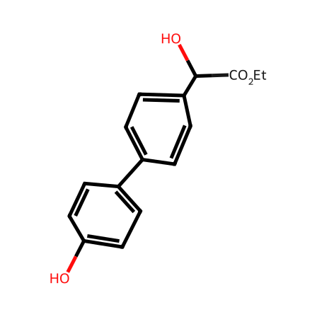 CCOC(=O)C(O)c1ccc(-c2ccc(O)cc2)cc1